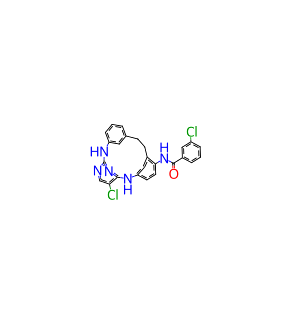 O=C(Nc1ccc2cc1CCc1cccc(c1)Nc1ncc(Cl)c(n1)N2)c1cccc(Cl)c1